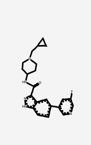 O=C(NC1CCN(CC2CC2)CC1)c1n[nH]c2ccc(-c3cncc(F)c3)cc12